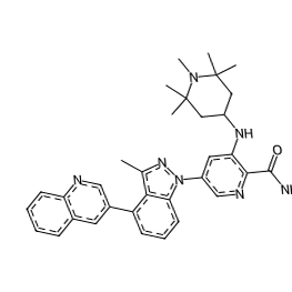 Cc1nn(-c2cnc(C(N)=O)c(NC3CC(C)(C)N(C)C(C)(C)C3)c2)c2cccc(-c3cnc4ccccc4c3)c12